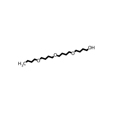 CCCCOCCCCOCCCCOCCCCO